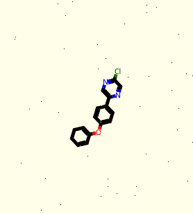 Clc1cnc(-c2ccc(OC3=CCCC=C3)cc2)cn1